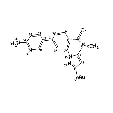 CCCCc1cc2n(C)c(=O)c3ccc(-c4ccc(N)nc4)cc3n2n1